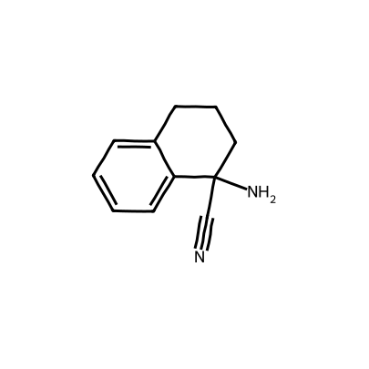 N#CC1(N)CCCc2ccccc21